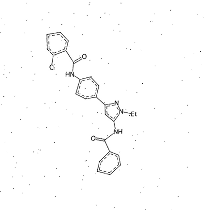 CCn1nc(-c2ccc(NC(=O)c3ccccc3Cl)cc2)cc1NC(=O)c1ccccc1